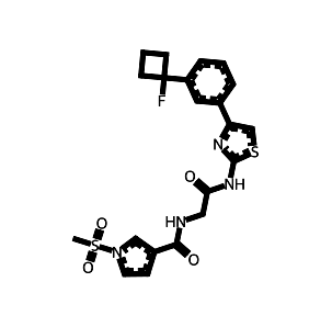 CS(=O)(=O)n1ccc(C(=O)NCC(=O)Nc2nc(-c3cccc(C4(F)CCC4)c3)cs2)c1